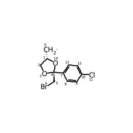 [CH2][C@H]1CO[C@@](CBr)(c2ccc(Cl)cc2)O1